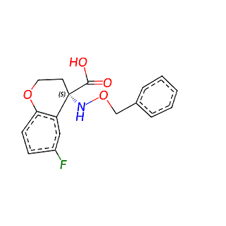 O=C(O)[C@]1(NOCc2ccccc2)CCOc2ccc(F)cc21